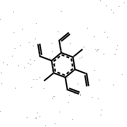 C=Cc1c(C)c(C=C)c(C=C)c(C)c1C=C